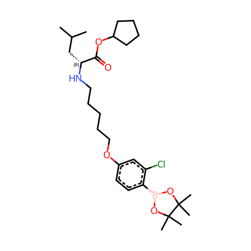 CC(C)C[C@@H](NCCCCCOc1ccc(B2OC(C)(C)C(C)(C)O2)c(Cl)c1)C(=O)OC1CCCC1